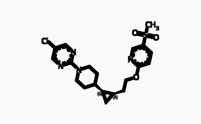 CS(=O)(=O)c1ccc(OCC[C@H]2C[C@H]2C2CCN(c3ncc(Cl)cn3)CC2)nc1